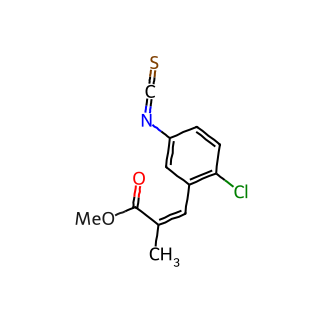 COC(=O)C(C)=Cc1cc(N=C=S)ccc1Cl